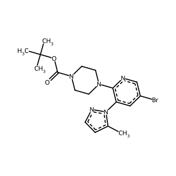 Cc1ccnn1-c1cc(Br)cnc1N1CCN(C(=O)OC(C)(C)C)CC1